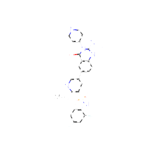 COc1ncc(-c2ccc3nc(N)n(-c4ccncc4)c(=O)c3c2)cc1S(=O)(=O)Nc1ccc(F)cc1F